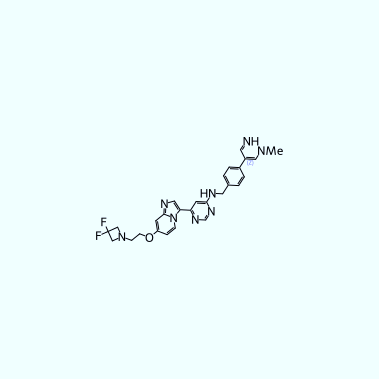 CN/C=C(\C=N)c1ccc(CNc2cc(-c3cnc4cc(OCCN5CC(F)(F)C5)ccn34)ncn2)cc1